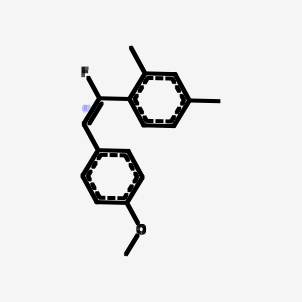 COc1ccc(/C=C(/F)c2ccc(C)cc2C)cc1